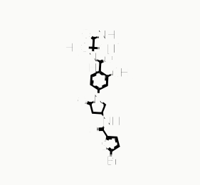 Cc1cc(N2CC(NC(=O)c3ccc(Br)s3)CC2=O)ccc1C(=O)NC(C)(C)C(N)=O